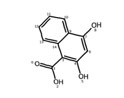 O=C(O)c1c(O)cc(O)c2ccccc12